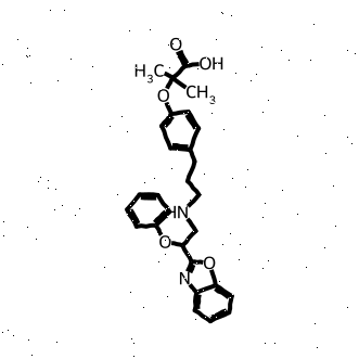 CC(C)(Oc1ccc(CCCNCC(Oc2ccccc2)c2nc3ccccc3o2)cc1)C(=O)O